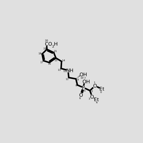 CCOC(OCC)P(=O)(O)C[C@@H](O)CNCCc1cccc(C(=O)O)c1